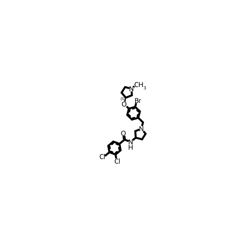 CN1CC[C@H](Oc2ccc(CN3CCC(NC(=O)c4ccc(Cl)c(Cl)c4)C3)cc2Br)C1